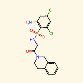 Nc1cc(Cl)cc(Cl)c1S(=O)(=O)NCC(=O)N1CCc2ccccc2C1